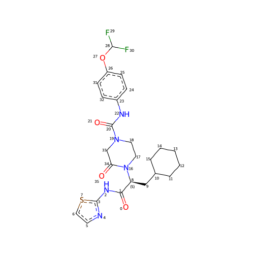 O=C(Nc1nccs1)[C@H](CC1CCCCC1)N1CCN(C(=O)Nc2ccc(OC(F)F)cc2)CC1=O